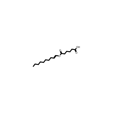 CCCCCCCCC=COC(=O)CCCCC(=O)O